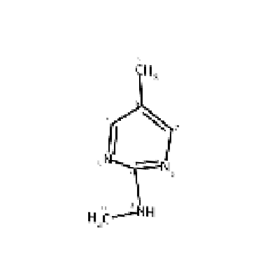 CNc1ncc(C)cn1